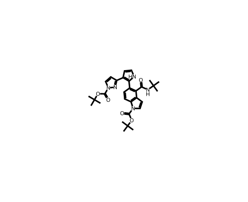 CC(C)(C)NC(=O)c1c(-c2[nH]ccc2-c2ccn(C(=O)OC(C)(C)C)n2)ccc2c1ccn2C(=O)OC(C)(C)C